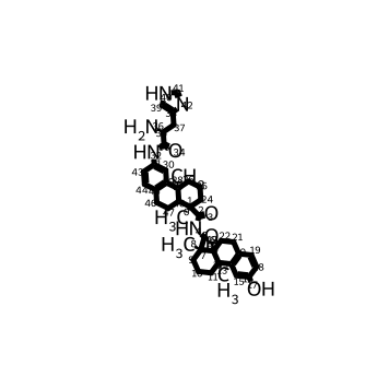 C[C@]1(C(=O)NC(=O)[C@@]2(C)CCC[C@]3(C)c4cc(O)ccc4CC[C@@H]23)CCC[C@]2(C)c3cc(NC(=O)[C@@H](N)Cc4c[nH]cn4)ccc3CCC12